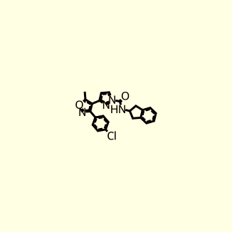 Cc1onc(-c2ccc(Cl)cc2)c1-c1ccn(C(=O)NC2Cc3ccccc3C2)n1